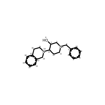 OC1CN(Cc2ccccc2)CCC1N1CCc2ccccc2C1